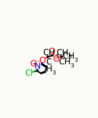 CC(C)(C)OC(=O)C(C)(C)Oc1cccc(Cl)[n+]1[O-]